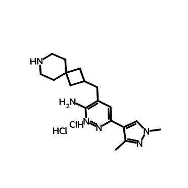 Cc1nn(C)cc1-c1cc(CC2CC3(CCNCC3)C2)c(N)nn1.Cl.Cl